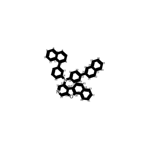 c1cc(-c2cccc3ccccc23)cc(N(c2ccc(-c3ccc4ccccc4c3)cc2)c2cncc3oc4c5ccccc5ccc4c23)c1